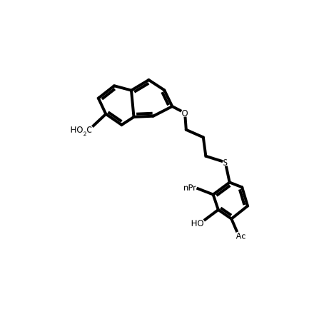 CCCc1c(SCCCOc2ccc3ccc(C(=O)O)cc3c2)ccc(C(C)=O)c1O